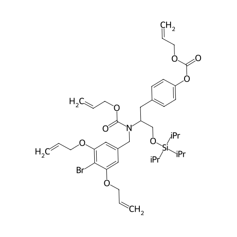 C=CCOC(=O)Oc1ccc(CC(CO[Si](C(C)C)(C(C)C)C(C)C)N(Cc2cc(OCC=C)c(Br)c(OCC=C)c2)C(=O)OCC=C)cc1